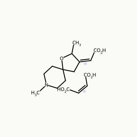 CC1OC2(CCN(C)CC2)C/C1=C/C(=O)O.O=C(O)/C=C\C(=O)O